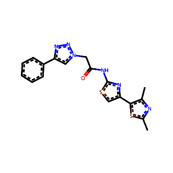 Cc1nc(C)c(-c2csc(NC(=O)Cn3cc(-c4ccccc4)nn3)n2)s1